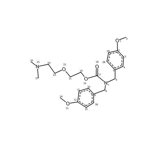 COc1ccc(CN(Cc2ccc(OC)cc2)C(=O)OCCOCCN(C)C)cc1